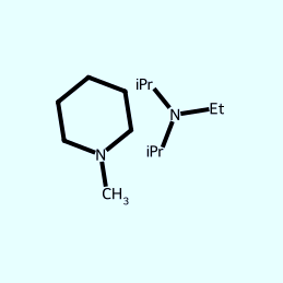 CCN(C(C)C)C(C)C.CN1CCCCC1